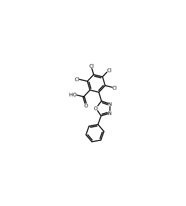 O=C(O)c1c(Cl)c(Cl)c(Cl)c(Cl)c1-c1nnc(-c2ccccc2)o1